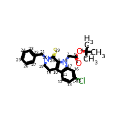 CC(C)(C)OC(=O)Cn1c2c(c3ccc(Cl)cc31)CCN(Cc1ccccc1)C2=S